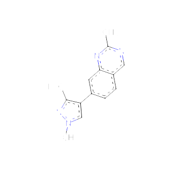 Cc1ncc2ccc(-c3cn(C)nc3C)cc2n1